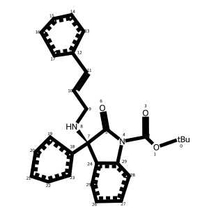 CC(C)(C)OC(=O)N1C(=O)[C@@](NC/C=C/c2ccccc2)(c2ccccc2)c2ccccc21